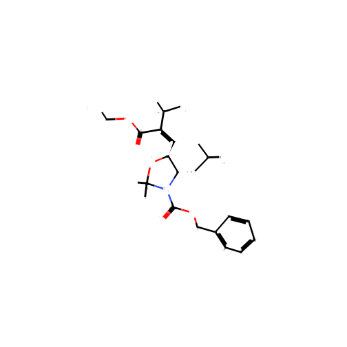 CCOC(=O)C(=C[C@@H]1OC(C)(C)N(C(=O)OCc2ccccc2)[C@H]1CC(C)C)C(C)C